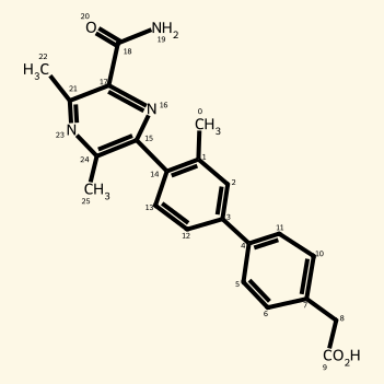 Cc1cc(-c2ccc(CC(=O)O)cc2)ccc1-c1nc(C(N)=O)c(C)nc1C